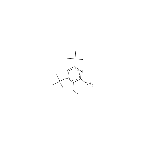 CCc1c(C(C)(C)C)cc(C(C)(C)C)nc1N